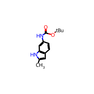 Cc1cc2ccc(NC(=O)OC(C)(C)C)cc2[nH]1